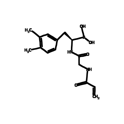 C=CC(=O)NCC(=O)N[C@@H](Cc1ccc(C)c(C)c1)B(O)O